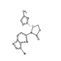 Cc1csc([C@@H]2COC(=O)N2c2ccn3ncc(Br)c3n2)n1